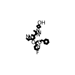 Cc1c(-c2cc(OC(COCc3ccccc3)c3ccc(F)cn3)c3ccnn3c2)nnn1C1CC(O)C1